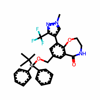 Cn1cc(-c2cc(CO[Si](c3ccccc3)(c3ccccc3)C(C)(C)C)cc3c2OCCNC3=O)c(C(F)(F)F)n1